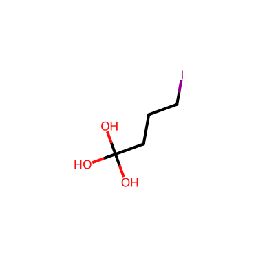 OC(O)(O)CCCI